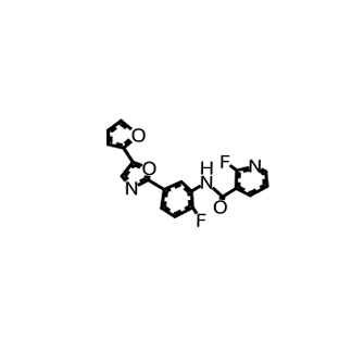 O=C(Nc1cc(-c2ncc(-c3ccco3)o2)ccc1F)c1cccnc1F